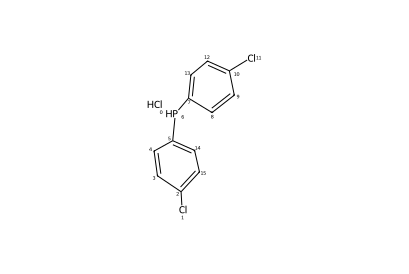 Cl.Clc1ccc(Pc2ccc(Cl)cc2)cc1